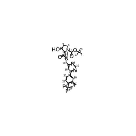 CC(C)(C)OC(=O)N1CCC(O)C1C(=O)NCc1cc(-c2ccc(C(F)(F)F)c(F)c2)ncn1